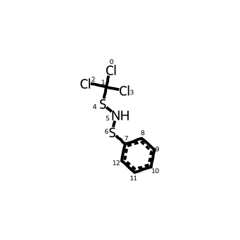 ClC(Cl)(Cl)SNSc1ccccc1